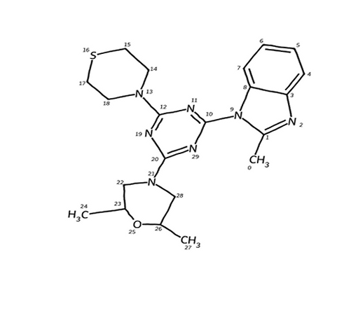 Cc1nc2ccccc2n1-c1nc(N2CCSCC2)nc(N2CC(C)OC(C)C2)n1